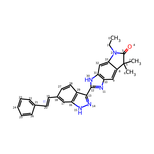 CCN1C(=O)C(C)(C)c2cc3nc(-c4n[nH]c5cc(/C=C/c6ccccc6)ccc45)[nH]c3cc21